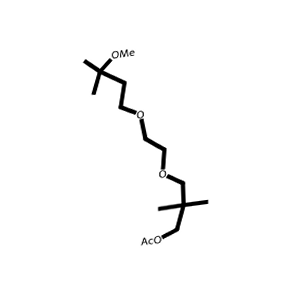 COC(C)(C)CCOCCOCC(C)(C)COC(C)=O